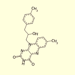 Cc1ccc(CC(O)Cn2c3nc(=O)[nH]c(=O)c-3nc3cc(C)ccc32)cc1